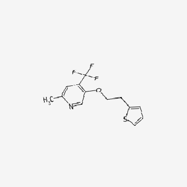 Cc1cc(C(F)(F)F)c(OCCc2cccs2)cn1